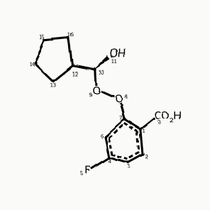 O=C(O)c1ccc(F)cc1OO[C@H](O)C1CCCC1